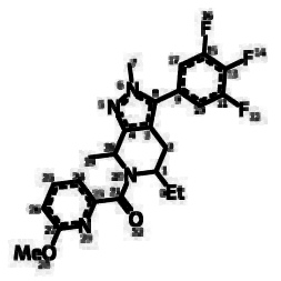 CCC1Cc2c(nn(C)c2-c2cc(F)c(F)c(F)c2)C(C)N1C(=O)c1cccc(OC)n1